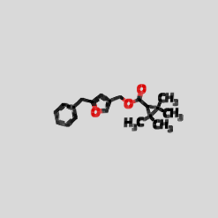 CC1(C)C(C(=O)OCc2coc(Cc3ccccc3)c2)C1(C)C